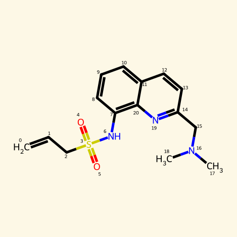 C=CCS(=O)(=O)Nc1cccc2ccc(CN(C)C)nc12